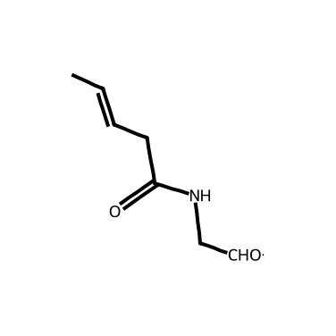 CC=CCC(=O)NC[C]=O